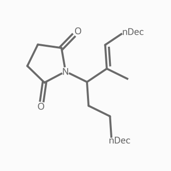 CCCCCCCCCCC=C(C)C(CCCCCCCCCCCC)N1C(=O)CCC1=O